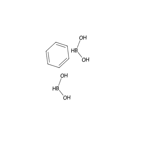 OBO.OBO.c1ccccc1